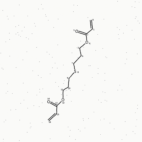 C=CC(=O)OCCCSCCCOC(=O)C=C